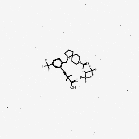 CC(C)(C#Cc1cc(C(F)(F)F)ccc1CN1CCCC12CCN(C(=O)OC(C(F)(F)F)C(F)(F)F)CC2)C(=O)O